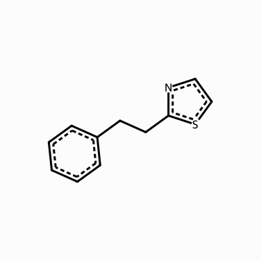 c1ccc(CCc2nccs2)cc1